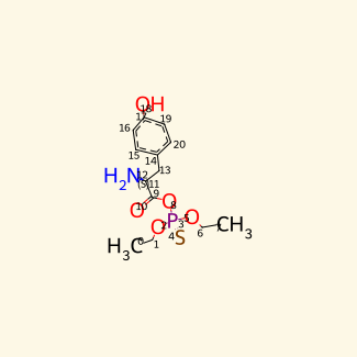 CCOP(=S)(OCC)OC(=O)[C@@H](N)Cc1ccc(O)cc1